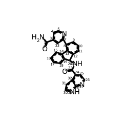 NC(=O)c1ccnc(-c2cccc3c2-c2ccccc2C3NC(=O)c2ccnc3[nH]ccc23)c1